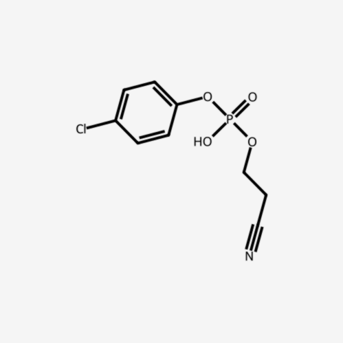 N#CCCOP(=O)(O)Oc1ccc(Cl)cc1